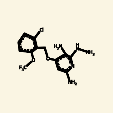 NNc1nc(N)cc(OCc2c(Cl)cccc2OC(F)(F)F)c1N